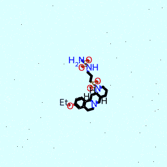 CCOc1ccc2c(c1)CCN1C[C@H]3CCCN(S(=O)(=O)CCCNS(N)(=O)=O)[C@H]3C[C@@H]21